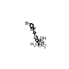 CC(C)(C)C1CC2CN(C3CC(c4nc5ccc(Br)cc5s4)C3)CC2N1C(=O)O